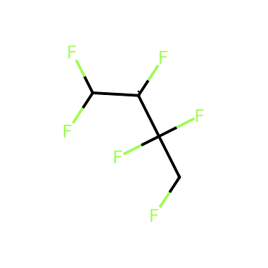 FCC(F)(F)[C](F)C(F)F